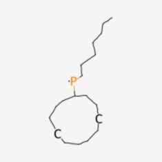 CCCCCCC[P]C1CCCCCCCCCCC1